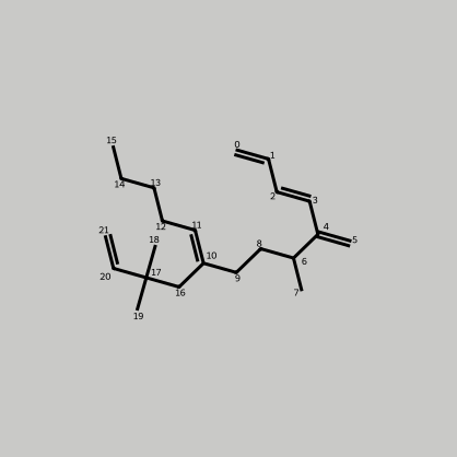 C=CC=CC(=C)C(C)CCC(=CCCCC)CC(C)(C)C=C